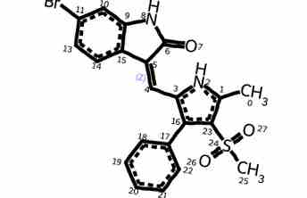 Cc1[nH]c(/C=C2\C(=O)Nc3cc(Br)ccc32)c(-c2ccccc2)c1S(C)(=O)=O